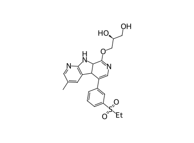 CCS(=O)(=O)c1cccc(C2=CN=C(OC[C@@H](O)CO)C3Nc4ncc(C)cc4C23)c1